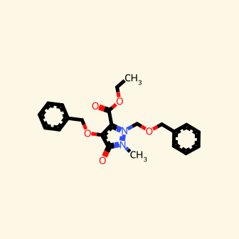 CCOC(=O)c1c(OCc2ccccc2)c(=O)n(C)n1COCc1ccccc1